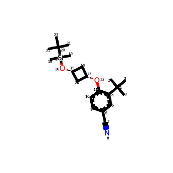 CC(C)(C)c1cc(C#N)ccc1O[C@H]1C[C@@H](O[Si](C)(C)C(C)(C)C)C1